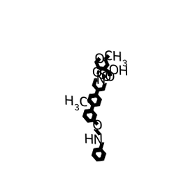 Cc1cc(C2CCN(S(=O)(=O)C3(C(=O)O)CCOC(C)C3)CC2)ccc1-c1cccc(OCCNCc2ccccc2)c1